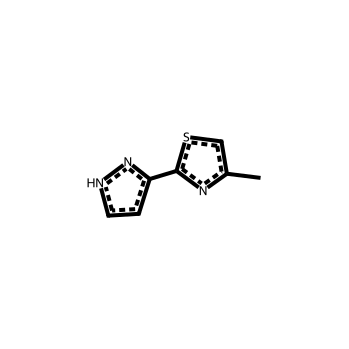 Cc1csc(-c2cc[nH]n2)n1